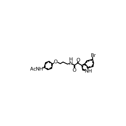 CC(=O)Nc1ccc(OCCCNC(=O)C(=O)c2c[nH]c3ccc(Br)cc23)cc1